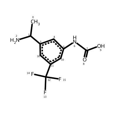 CC(N)c1cc(NC(=O)O)cc(C(F)(F)F)c1